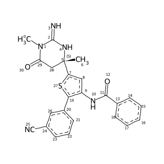 CN1C(=N)N[C@](C)(c2cc(NC(=O)c3ccccc3)c(-c3cccc(C#N)c3)s2)CC1=O